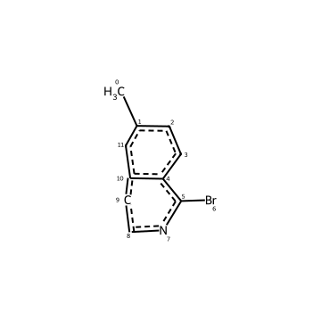 Cc1ccc2c(Br)nccc2c1